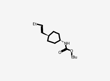 CCC=C[C@H]1CC[C@H](NC(=O)OC(C)(C)C)CC1